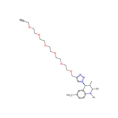 C#CCOCCOCCOCCOCCOCCOCc1cn([C@@H]2c3cc(C(=O)O)ccc3N(C(C)=O)C(CC)C2C)nn1